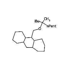 CCCCCC(C)(OCC1C2CCCCC2CC2CCCCC21)C(C)CC